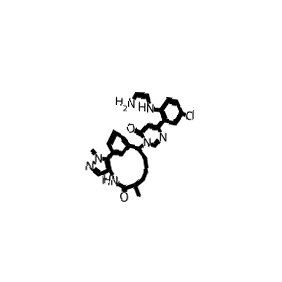 CC1CCCC(n2cnc(-c3cc(Cl)ccc3N/C=C\N)cc2=O)c2cccc(c2)-c2c(cnn2C)NC1=O